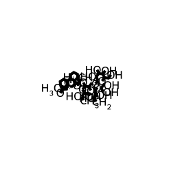 C=C(O)C(O)C(OC(CO)CO)OC(COC1OC(CO)C(O)C(O)C1O)C(OC(=O)[C@]1(C)CCC[C@]2(C)C1CC[C@]13CC(=O)C(C)(CC[C@H]12)C3)OC(CO)C(C)O